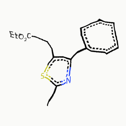 CCOC(=O)Cc1sc(C)nc1-c1ccccc1